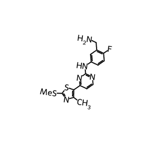 CSc1nc(C)c(-c2ccnc(Nc3ccc(F)c(CN)c3)n2)s1